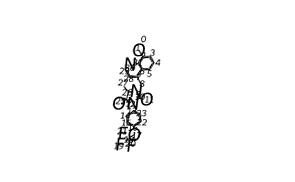 COc1cccc2c(CN3C(=O)N(c4ccc(OC(F)(F)F)cc4)C(=O)C3C)ccnc12